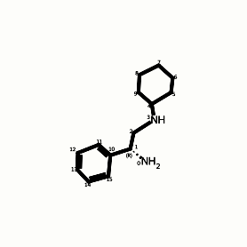 N[C@@H](CNC1CCCCC1)c1ccccc1